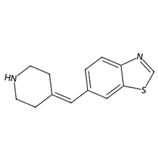 C(=C1CCNCC1)c1ccc2ncsc2c1